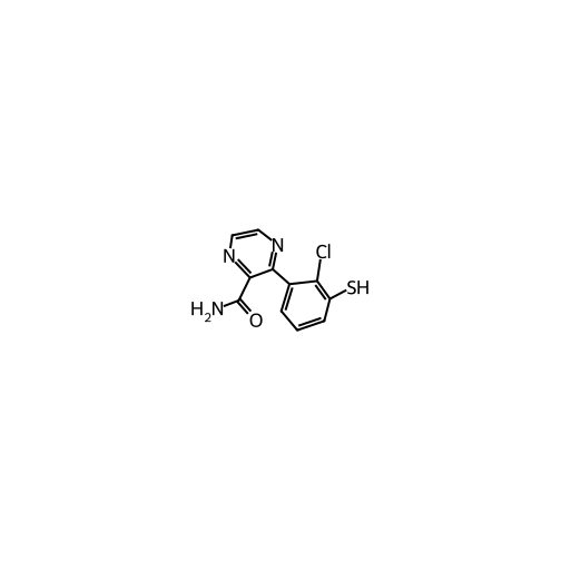 NC(=O)c1nccnc1-c1cccc(S)c1Cl